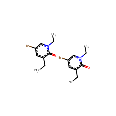 N#CCc1cc(Br)cn(CC(F)(F)F)c1=O.O=C(O)Cc1cc(Br)cn(CC(F)(F)F)c1=O